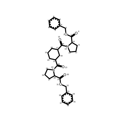 O=C(OCc1ccccc1)C1CCCN1C(=O)C1CCCC(C(=O)N2CCCC2C(=O)OCc2ccccc2)C1